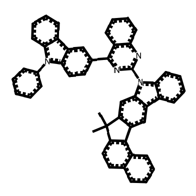 CC1(C)c2cc3c(cc2-c2c1ccc1ccccc21)c1ccccc1n3-c1nc(-c2ccc3c(c2)c2ccccc2n3-c2ccccc2)c2ccccc2n1